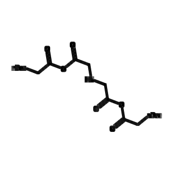 CCCCCCCCCCCC(=O)OC(=O)CNCC(=O)OC(=O)CCCCCCCCCCC